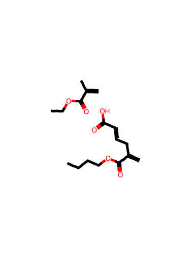 C=C(C)C(=O)OCC.C=C(CC=CC(=O)O)C(=O)OCCCC